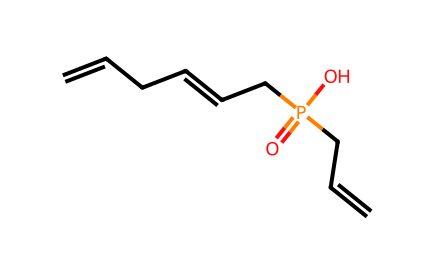 C=CCC=CCP(=O)(O)CC=C